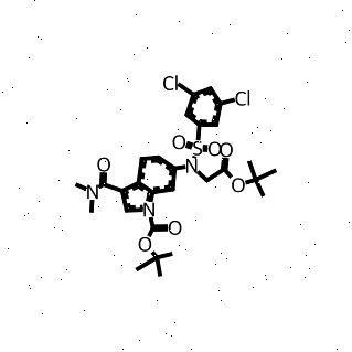 CN(C)C(=O)c1cn(C(=O)OC(C)(C)C)c2cc(N(CC(=O)OC(C)(C)C)S(=O)(=O)c3cc(Cl)cc(Cl)c3)ccc12